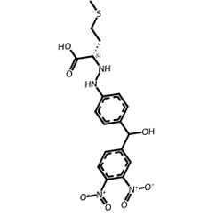 CSCC[C@H](NNc1ccc(C(O)c2ccc([N+](=O)[O-])c([N+](=O)[O-])c2)cc1)C(=O)O